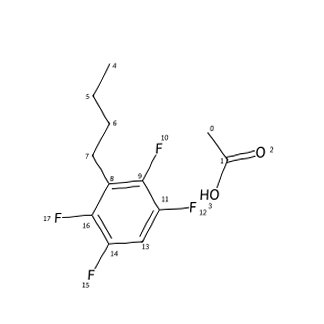 CC(=O)O.CCCCc1c(F)c(F)cc(F)c1F